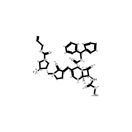 C=CCOC(=O)N1C[C@H](CN2CC/C(=C\C3=CS[C@@H]4[C@H](NC(=O)OC(C)(C)C)C(=O)N4[C@H]3C(=O)OC(c3ccccc3)c3ccccc3)C2=O)[C@@H](C(F)(F)F)C1